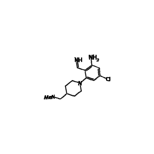 CNCC1CCN(c2cc(Cl)cc(N)c2C=N)CC1